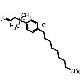 C=CC[N+](C)(C)c1ccc(CCCCCCCCCCCCCCCCCC)cc1.[Cl-]